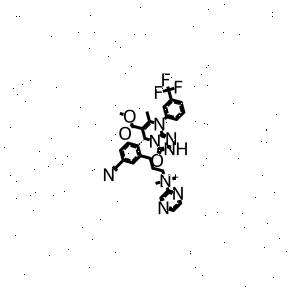 COC(=O)C1=C(C)N(c2cccc(C(F)(F)F)c2)c2n[nH]c(=O)n2[C@@H]1c1ccc(C#N)cc1CCC[N+](C)(C)c1cnccn1